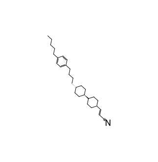 CCCCCc1ccc(CCCC[C@H]2CC[C@H](C3CCC(/C=C/C#N)CC3)CC2)cc1